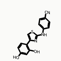 N#Cc1ccc(Nc2nc(-c3ccc(O)cc3O)cs2)cc1